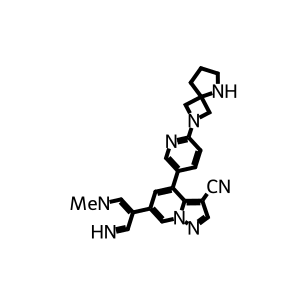 CN/C=C(\C=N)c1cc(-c2ccc(N3CC4(CCCN4)C3)nc2)c2c(C#N)cnn2c1